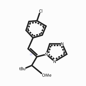 COC(/C(=C/c1ccc(Cl)cc1)n1cncn1)C(C)(C)C